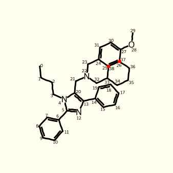 CCCCn1c(-c2ccccc2)nc(-c2ccccc2)c1CN(Cc1ccc(OC)cc1)CC1CCCCC1